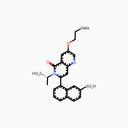 COCCOc1cnc2cc(-c3cccc4ccc(S(=O)(=O)O)cc34)n([C@H](C)C(=O)O)c(=O)c2c1